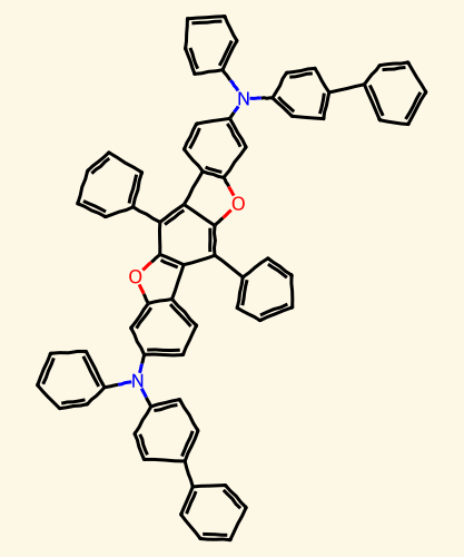 c1ccc(-c2ccc(N(c3ccccc3)c3ccc4c(c3)oc3c(-c5ccccc5)c5c(oc6cc(N(c7ccccc7)c7ccc(-c8ccccc8)cc7)ccc65)c(-c5ccccc5)c34)cc2)cc1